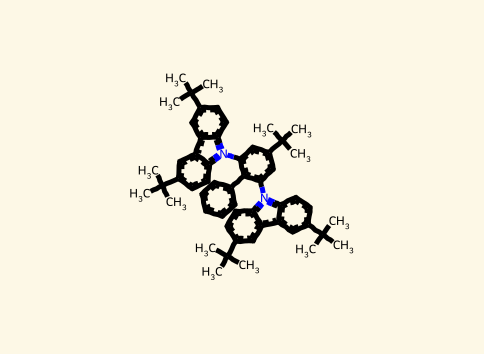 CC(C)(C)c1cc(-n2c3ccc(C(C)(C)C)cc3c3cc(C(C)(C)C)ccc32)c(-c2ccccc2)c(-n2c3ccc(C(C)(C)C)cc3c3cc(C(C)(C)C)ccc32)c1